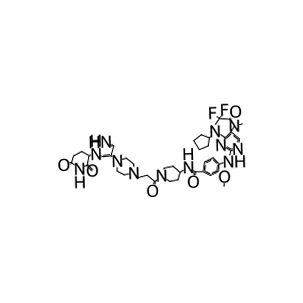 COc1cc(C(=O)NC2CCN(C(=O)CCN3CCN(/C(C=N)=C/NC4CCC(=O)NC4=O)CC3)CC2)ccc1Nc1ncc2c(n1)N(C1CCCC1)CC(F)(F)C(=O)N2C